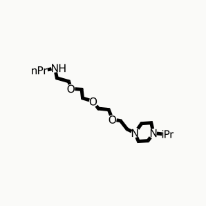 CCCNCCOCCOCCOCCN1CCN(C(C)C)CC1